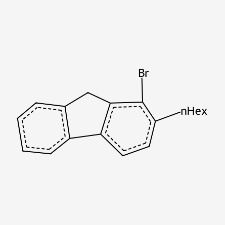 CCCCCCc1ccc2c(c1Br)Cc1ccccc1-2